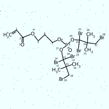 C=CC(=O)OCCCOP(=O)(OC(Br)(Br)C(C)(C)CBr)OC(Br)(Br)C(C)(C)CBr